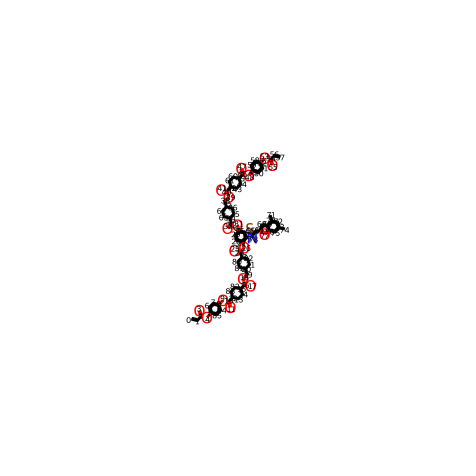 C=CC(=O)Oc1ccc(OC(=O)C2CCC(C(=O)OCC3CCC(C(=O)Oc4ccc(OC(=O)C5CCC(COC(=O)C6CCC(C(=O)Oc7ccc(OC(=O)C=C)cc7)CC6)CC5)c5sc(-c6cc7c(C)cc(C)cc7o6)nc45)CC3)CC2)cc1